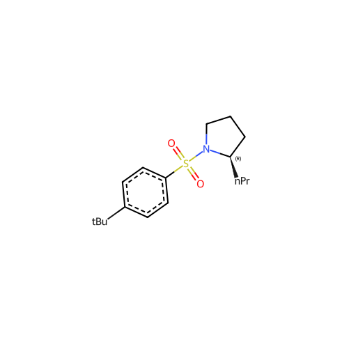 CCC[C@@H]1CCCN1S(=O)(=O)c1ccc(C(C)(C)C)cc1